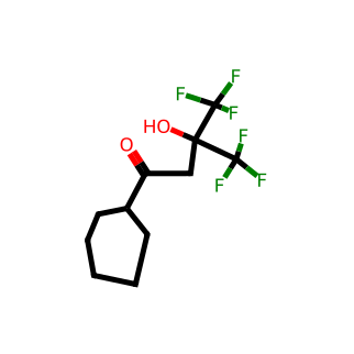 O=C(CC(O)(C(F)(F)F)C(F)(F)F)C1CCCCC1